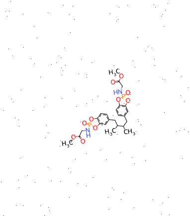 COC(=O)CNP1(=O)Oc2ccc(CC(C)C(C)Cc3ccc4c(c3)OP(=O)(NCC(=O)OC)O4)cc2O1